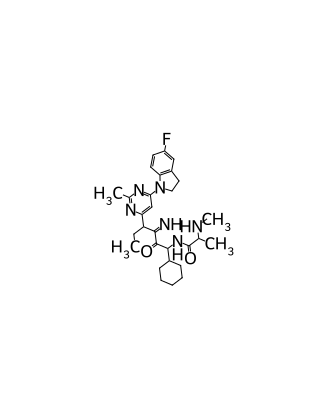 CCC(C(=N)C(=O)C(NC(=O)C(C)NC)C1CCCCC1)c1cc(N2CCc3cc(F)ccc32)nc(C)n1